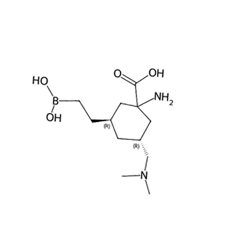 CN(C)C[C@@H]1C[C@@H](CCB(O)O)CC(N)(C(=O)O)C1